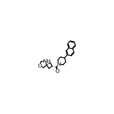 O=C([C@H]1C[C@]2(COCN2)C1)N1CCC(c2ccc3ccccc3c2)CC1